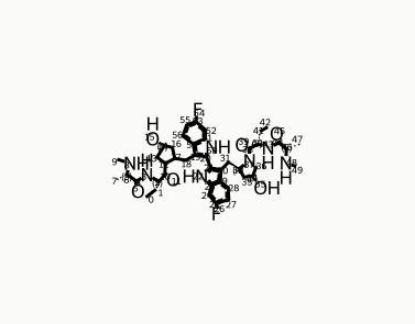 CC[C@H](NC(=O)[C@H](C)NC)C(=O)C1C[C@@H](O)CC1Cc1c(-c2[nH]c3cc(F)ccc3c2C[C@@H]2C[C@H](O)CN2C(=O)[C@H](CC)NC(=O)[C@H](C)NC)[nH]c2cc(F)ccc12